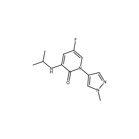 CC(C)Nc1cc(F)cn(-c2cnn(C)c2)c1=O